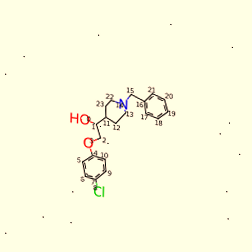 OC(COc1ccc(Cl)cc1)C1CCN(Cc2ccccc2)CC1